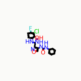 O=C(Nc1ccccc1)Nc1conc1/C(=N/O)Nc1ccc(F)c(Cl)c1